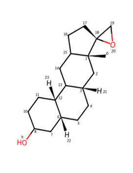 C[C@@]12C[C@@H]3CC[C@@H]4CC(O)CC[C@@H]4C3CC1CC[C@]21CO1